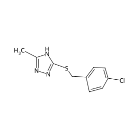 Cc1nnc(SCc2ccc(Cl)cc2)[nH]1